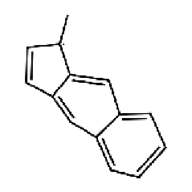 C[C]1C=Cc2cc3ccccc3cc21